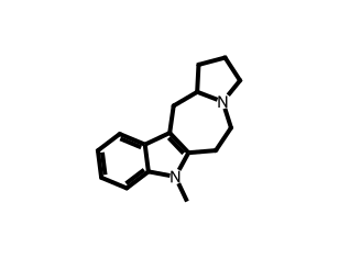 Cn1c2c(c3ccccc31)CC1CCCN1CC2